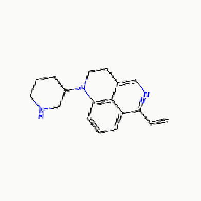 C=Cc1ncc2c3c(cccc13)N(C1CCCNC1)CC2